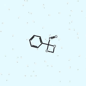 O=PC1(c2ccccc2)OCO1